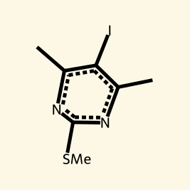 CSc1nc(C)c(I)c(C)n1